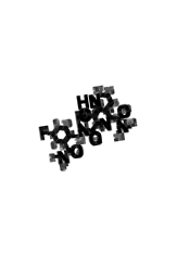 CN(C)C(=O)c1cc(F)ccc1CNC(=O)c1nc(C(=O)N(C)C)c2cccnc2c1O